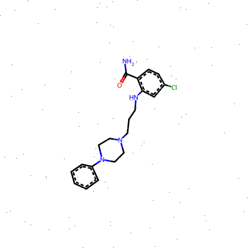 NC(=O)c1ccc(Cl)cc1NCCCN1CCN(c2ccccc2)CC1